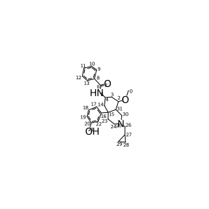 COC1CC(NC(=O)c2ccccc2)CC2(c3cccc(O)c3)CCN(CC3CC3)CC12